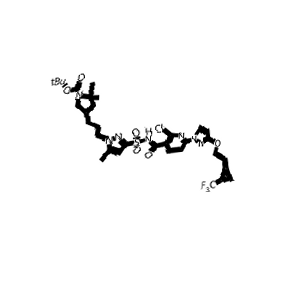 Cc1cc(S(=O)(=O)NC(=O)c2ccc(-n3ccc(OCCC4CC4C(F)(F)F)n3)nc2Cl)nn1CCCC1CN(C(=O)OC(C)(C)C)C(C)(C)C1